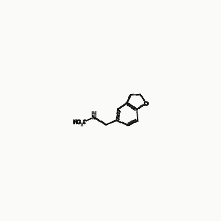 O=C(O)NCc1ccc2c(c1)CCO2